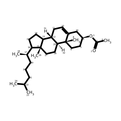 CC(=O)O[C@H]1CC[C@@]2(C)C(=CC[C@H]3C4CCC([C@H](C)CCCC(C)C)[C@@]4(C)CC[C@@H]32)C1